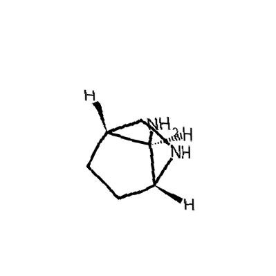 N[C@@H]1[C@@H]2CC[C@H]1NC2